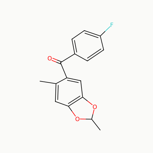 Cc1cc2c(cc1C(=O)c1ccc(F)cc1)OC(C)O2